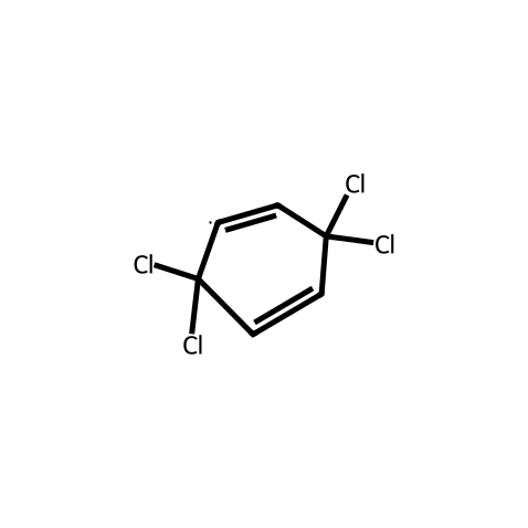 ClC1(Cl)[C]=CC(Cl)(Cl)C=C1